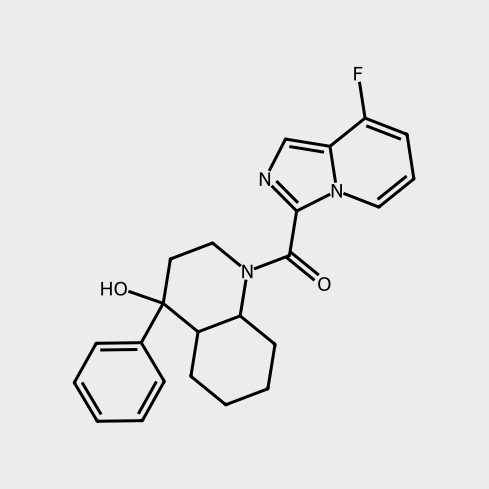 O=C(c1ncc2c(F)cccn12)N1CCC(O)(c2ccccc2)C2CCCCC21